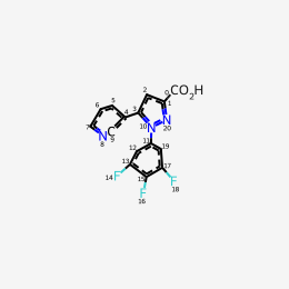 O=C(O)c1cc(-c2cccnc2)n(-c2cc(F)c(F)c(F)c2)n1